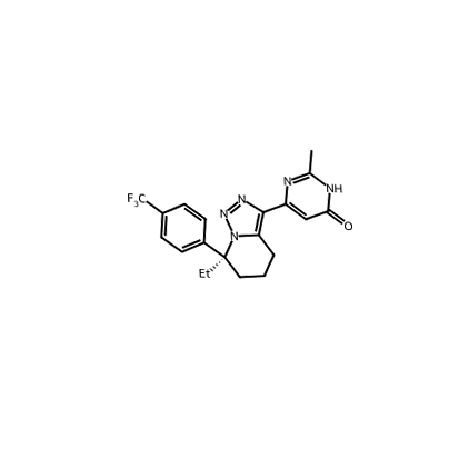 CC[C@@]1(c2ccc(C(F)(F)F)cc2)CCCc2c(-c3cc(=O)[nH]c(C)n3)nnn21